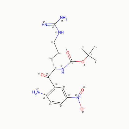 CC(C)(C)OC(=O)N[C@@H](CCCNC(=N)N)C(=O)c1cc([N+](=O)[O-])ccc1N